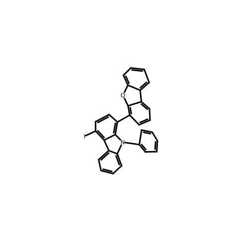 Ic1ccc(-c2cccc3c2oc2ccccc23)c2c1c1ccccc1n2-c1ccccc1